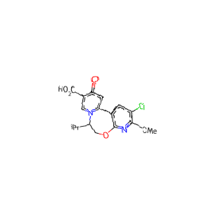 COc1nc2c(cc1Cl)-c1cc(=O)c(C(=O)O)cn1C(C(C)C)CO2